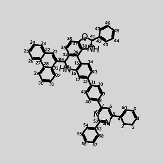 C1=CCCC(c2cc(-c3ccc(-c4ccc5c(c4)NC(c4cc6ccccc6c6ccccc46)c4ccc6c(c4-5)NC(c4ccccc4)O6)cc3)nc(-c3ccccc3)n2)=C1